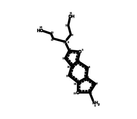 Nc1cc2cc3oc(N(CCO)CCO)cc3cc2o1